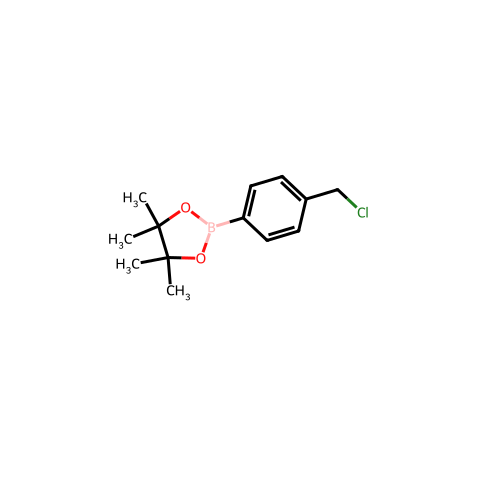 CC1(C)OB(c2ccc(CCl)cc2)OC1(C)C